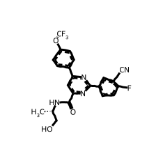 C[C@@H](CO)NC(=O)c1cc(-c2ccc(OC(F)(F)F)cc2)nc(-c2ccc(F)c(C#N)c2)n1